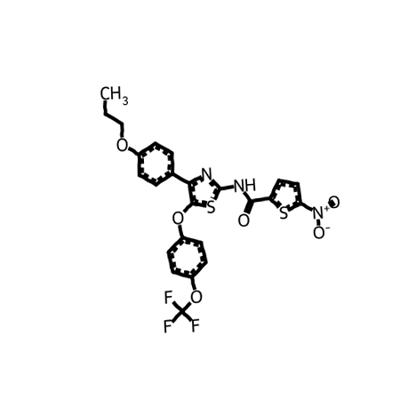 CCCOc1ccc(-c2nc(NC(=O)c3ccc([N+](=O)[O-])s3)sc2Oc2ccc(OC(F)(F)F)cc2)cc1